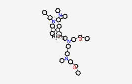 C=C(/C=C1\C(=C/C)C2(c3ccccc31)c1ccccc1-c1ccc(N(c3ccc(-c4ccccc4)cc3)c3ccc4c5ccccc5n(-c5ccccc5)c4c3)cc12)c1ccc(N(c2ccc(-c3ccc(N(c4ccccc4)c4ccc(-c5ccc(-c6ccccc6)o5)cc4)cc3)cc2)c2ccc(-c3ccc(-c4ccccc4)o3)cc2)cc1